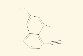 C#Cc1cccc2cc(N)cc(C(C)C)c12